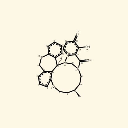 C[C@H]1CCOc2cccc3c2[C@@H](c2ccccc2SC3)N2CN(CC1)C(=O)c1c(O)c(=O)ccn12